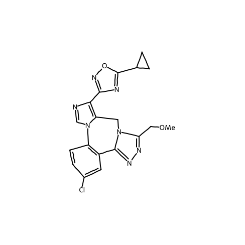 COCc1nnc2n1Cc1c(-c3noc(C4CC4)n3)ncn1-c1ccc(Cl)cc1-2